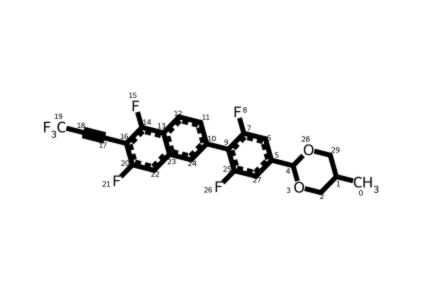 CC1COC(c2cc(F)c(-c3ccc4c(F)c(C#CC(F)(F)F)c(F)cc4c3)c(F)c2)OC1